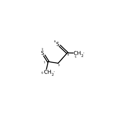 [CH2]C(=S)CC([CH2])=S